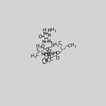 CCCC(CCC)COC(=O)[C@H](C)NP(=O)(OC[C@@]1(COC(=O)[C@H](N)C(C)C)C/C1=C/n1cnc2c(=O)[nH]c(N)nc21)Oc1ccccc1